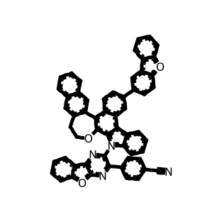 N#Cc1ccc(-c2nc3oc4ccccc4c3nc2-n2c3ccccc3c3c4cc(-c5ccc6oc7ccccc7c6c5)ccc4c4c(c32)OCCc2cc3ccccc3cc2-4)cc1